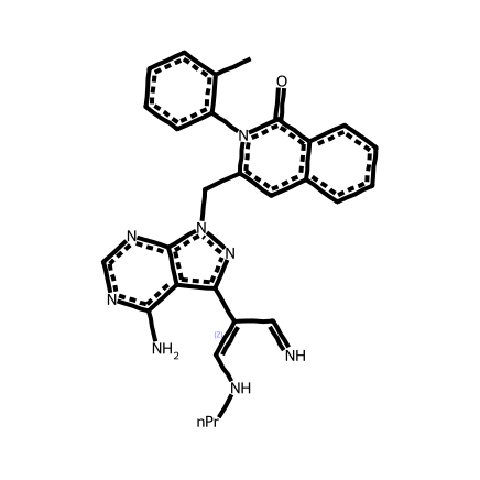 CCCN/C=C(\C=N)c1nn(Cc2cc3ccccc3c(=O)n2-c2ccccc2C)c2ncnc(N)c12